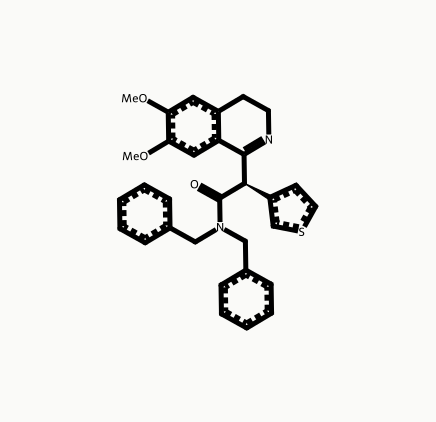 COc1cc2c(cc1OC)C([C@H](C(=O)N(Cc1ccccc1)Cc1ccccc1)c1ccsc1)=NCC2